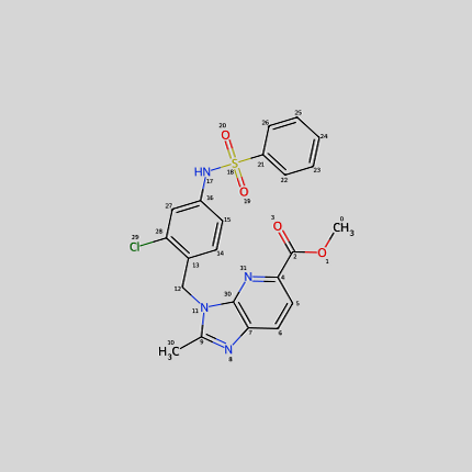 COC(=O)c1ccc2nc(C)n(Cc3ccc(NS(=O)(=O)c4ccccc4)cc3Cl)c2n1